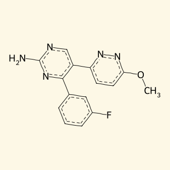 COc1ccc(-c2cnc(N)nc2-c2cccc(F)c2)nn1